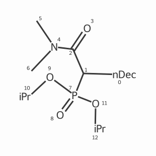 CCCCCCCCCCC(C(=O)N(C)C)P(=O)(OC(C)C)OC(C)C